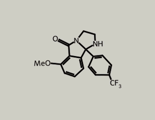 COc1cccc2c1C(=O)N1CCNC21c1ccc(C(F)(F)F)cc1